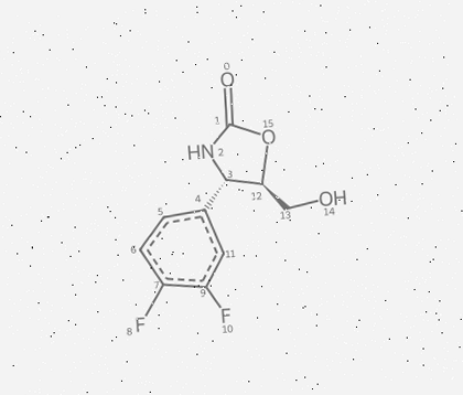 O=C1N[C@@H](c2ccc(F)c(F)c2)[C@H](CO)O1